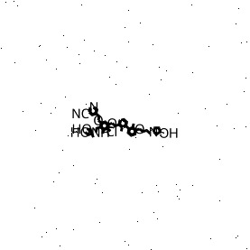 Cc1c(COc2cc(OCc3cncc(C#N)c3)c(CNC(C)(CO)CO)c(C)c2Cl)cccc1-c1cccc(OCCCN2CC[C@@H](O)C2)c1C